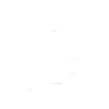 CCCC(CC)COc1cccc(C(O)CCC)c1